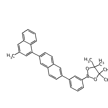 Cc1cc(-c2ccc3cc(-c4cccc(B5OC(C)(C)C(C)(C)O5)c4)ccc3c2)c2ccccc2c1